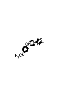 FC(F)(F)Oc1ccc(ON2CCN(c3cs[c]n3)CC2)cc1